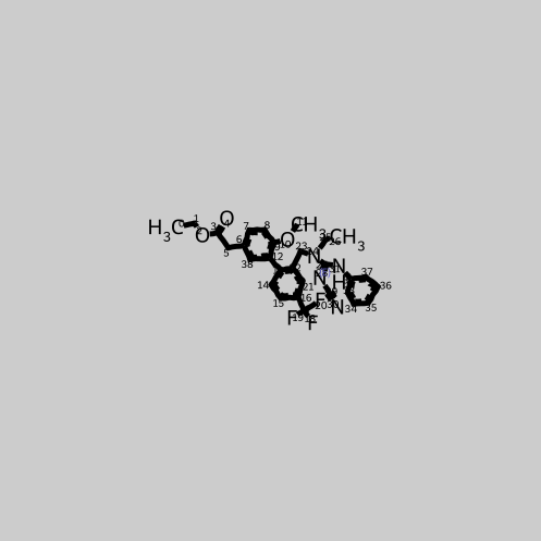 CCOC(=O)Cc1ccc(OC)c(-c2ccc(C(F)(F)F)cc2CN(CC)/C(=N/C#N)Nc2ccccc2)c1